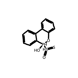 O=[SH](=S)[PH]1(O)Oc2ccccc2-c2ccccc21